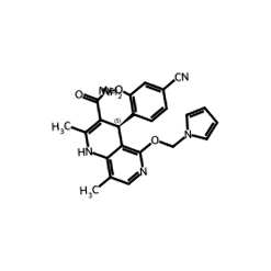 COc1cc(C#N)ccc1[C@@H]1C(C(N)=O)=C(C)Nc2c(C)cnc(OCn3cccc3)c21